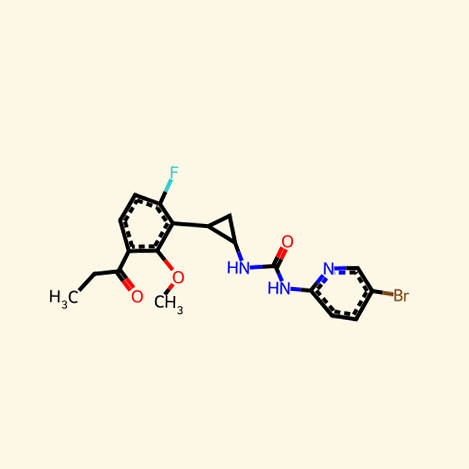 CCC(=O)c1ccc(F)c(C2CC2NC(=O)Nc2ccc(Br)cn2)c1OC